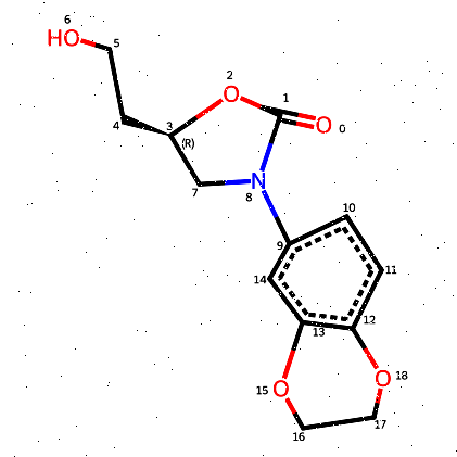 O=C1O[C@H](CCO)CN1c1ccc2c(c1)OCCO2